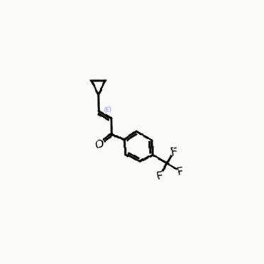 O=C(/C=C/C1CC1)c1ccc(C(F)(F)F)cc1